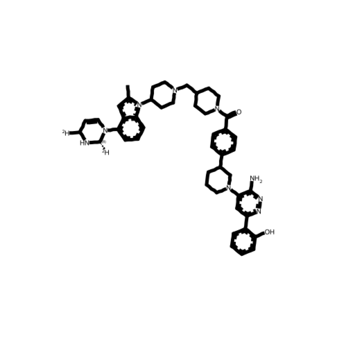 [2H]C1C=CN(c2cccc3c2cc(C)n3C2CCN(CC3CCN(C(=O)c4ccc(C5CCCN(c6cc(-c7ccccc7O)nnc6N)C5)cc4)CC3)CC2)[C@H]([2H])N1